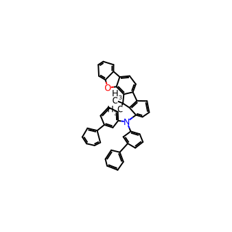 CC1(C)c2c(cccc2N(c2cccc(-c3ccccc3)c2)c2cccc(-c3ccccc3)c2)-c2ccc3c(oc4ccccc43)c21